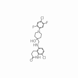 O=C1CCc2c(NCC3(O)CCN(c4cc(F)c(Cl)cc4F)CC3)ccc(Cl)c2N1